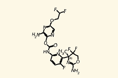 C[C@]1(c2nc(NC(=O)Oc3ncc(OCC(F)F)nc3N)ccc2F)N=C(N)OCC1(F)F